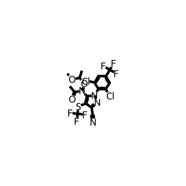 COC(C)ON(C(C)=O)c1c(SC(F)(F)F)c(C#N)nn1-c1c(Cl)cc(C(F)(F)F)cc1Cl